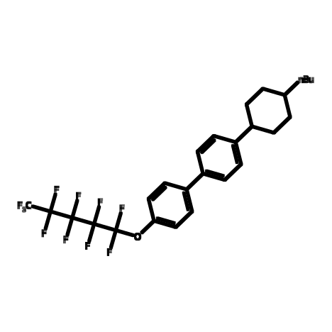 CCCCC1CCC(c2ccc(-c3ccc(OC(F)(F)C(F)(F)C(F)(F)C(F)(F)C(F)(F)F)cc3)cc2)CC1